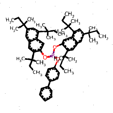 CCC(C)(C)c1cc(C(C)(C)CC)c2cc(OP(Oc3ccc(-c4ccccc4)cc3)Oc3cc4c(C(C)(C)CC)cc(C(C)(C)CC)cc4cc3C(C)(C)CC)c(C(C)(C)CC)cc2c1